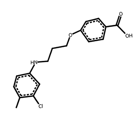 Cc1ccc(NCCCOc2ccc(C(=O)O)cc2)cc1Cl